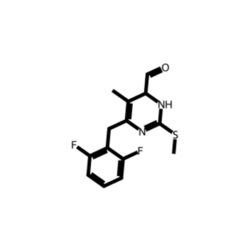 CSC1=NC(Cc2c(F)cccc2F)=C(C)C(C=O)N1